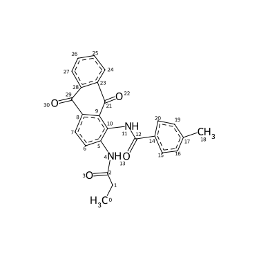 CCC(=O)Nc1ccc2c(c1NC(=O)c1ccc(C)cc1)C(=O)c1ccccc1C2=O